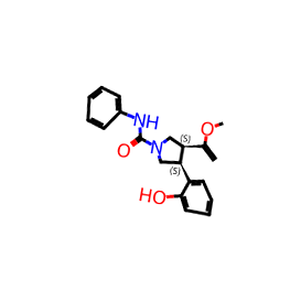 C=C(OC)[C@@H]1CN(C(=O)Nc2ccccc2)C[C@@H]1c1ccccc1O